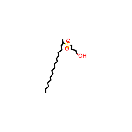 CCCCCCCCCCCCCCCC=C(C)S(=O)(=O)CCCCO